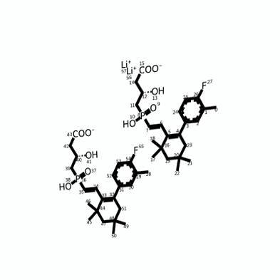 Cc1cc(C2=C(/C=C/P(=O)(O)C[C@@H](O)CC(=O)[O-])C(C)(C)CC(C)(C)C2)ccc1F.Cc1cc(C2=C(/C=C/P(=O)(O)C[C@@H](O)CC(=O)[O-])C(C)(C)CC(C)(C)C2)ccc1F.[Li+].[Li+]